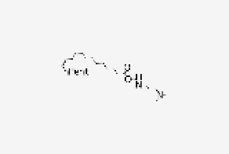 CCCCC/C=C\C/C=C\CCCCCCCC(=O)OCNCCCN(C)C